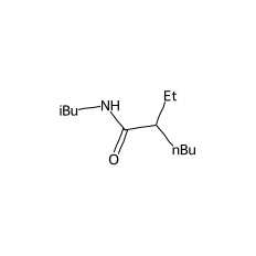 CCCCC(CC)C(=O)NC(C)CC